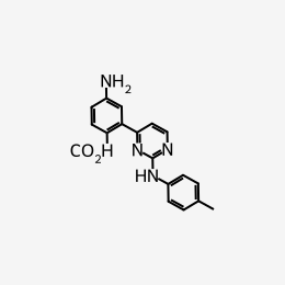 Cc1ccc(Nc2nccc(-c3cc(N)ccc3C(=O)O)n2)cc1